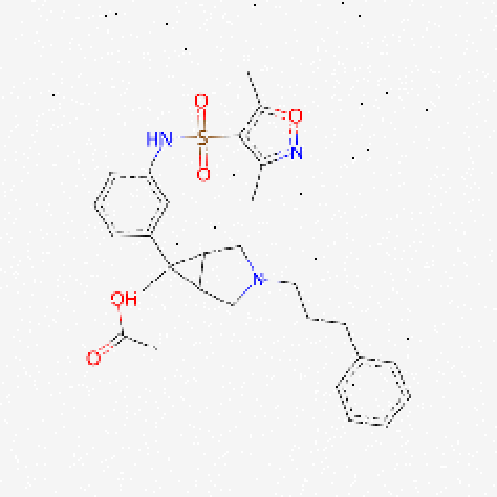 CC(=O)O.Cc1noc(C)c1S(=O)(=O)Nc1cccc(C2(C)C3CN(CCCc4ccccc4)CC32)c1